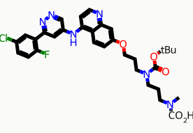 CN(CCCN(CCCOc1ccc2c(Nc3cnnc(-c4cc(Cl)ccc4F)c3)ccnc2c1)C(=O)OC(C)(C)C)C(=O)O